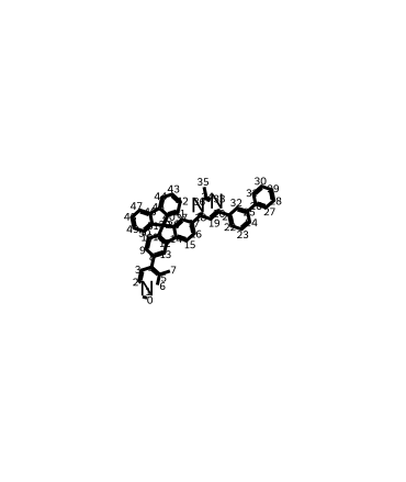 C=N/C=C\C(=C(C)C)c1ccc2c(c1)-c1ccc(-c3cc(-c4cccc(-c5ccccc5)c4)nc(C)n3)cc1C21c2ccccc2-c2ccccc21